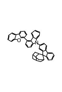 c1ccc2c(c1)-c1ccc(-n3c4ccccc4c4c(-c5cccc6c5oc5ccccc56)cccc43)cc1C21C2CC3CC(C2)CC1C3